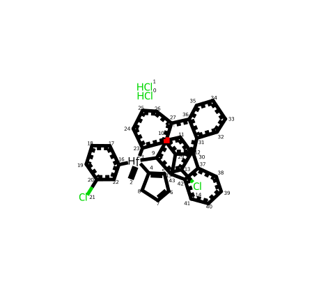 Cl.Cl.[CH2]=[Hf]([C]1=CC=CC1)([c]1cccc(Cl)c1)([c]1cccc(Cl)c1)[c]1cccc2c1c1c(c3ccccc32)-c2ccccc2C1